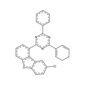 Clc1ccc2oc3cccc(-c4nc(C5=CCCC=C5)nc(-c5ccccc5)n4)c3c2c1